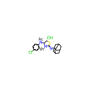 CC(=O)N(c1ccc(Cl)cc1)C1CSC(=NC23CC4CC(CC(C4)C2)C3)N1C(C)C.Cl